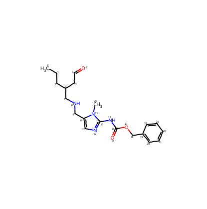 CCCC(CC=O)CNCc1cnc(NC(=O)OCc2ccccc2)n1C